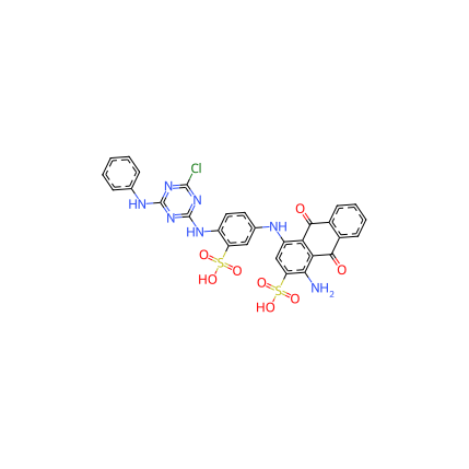 Nc1c(S(=O)(=O)O)cc(Nc2ccc(Nc3nc(Cl)nc(Nc4ccccc4)n3)c(S(=O)(=O)O)c2)c2c1C(=O)c1ccccc1C2=O